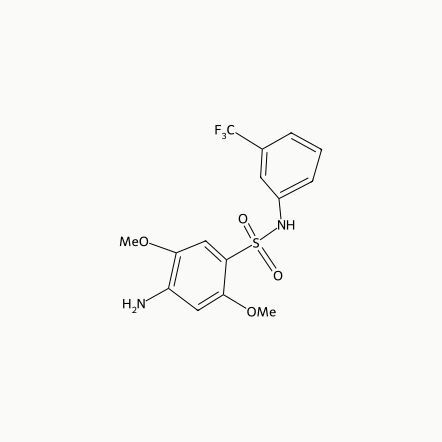 COc1cc(S(=O)(=O)Nc2cccc(C(F)(F)F)c2)c(OC)cc1N